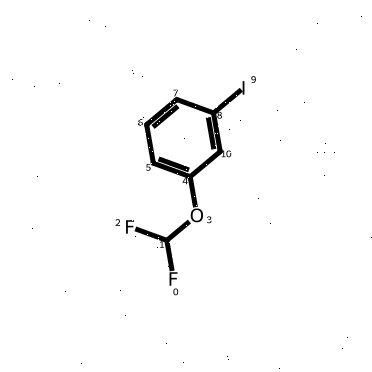 FC(F)Oc1cccc(I)c1